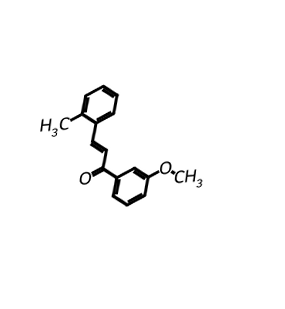 COc1cccc(C(=O)/C=C/c2ccccc2C)c1